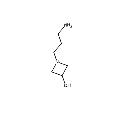 NCCCN1CC(O)C1